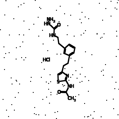 CC(=O)Nc1nc(CCc2cccc(CCNC(=O)NN)c2)cs1.Cl